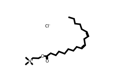 CCCCC/C=C\C/C=C\CCCCCCCC(=O)OCC[N+](C)(C)C.[Cl-]